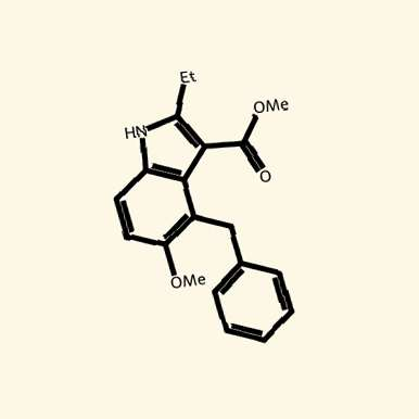 CCc1[nH]c2ccc(OC)c(Cc3ccccc3)c2c1C(=O)OC